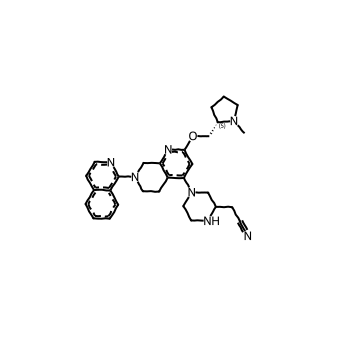 CN1CCC[C@H]1COc1cc(N2CCNC(CC#N)C2)c2c(n1)CN(c1nccc3ccccc13)CC2